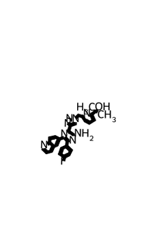 CC(C)(O)c1cccc(Cn2cc(-c3nc(-c4ccc5ncccc5c4)c(-c4ccc(F)cc4)nc3N)nn2)n1